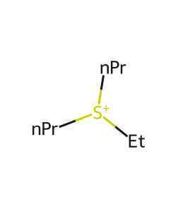 CCC[S+](CC)CCC